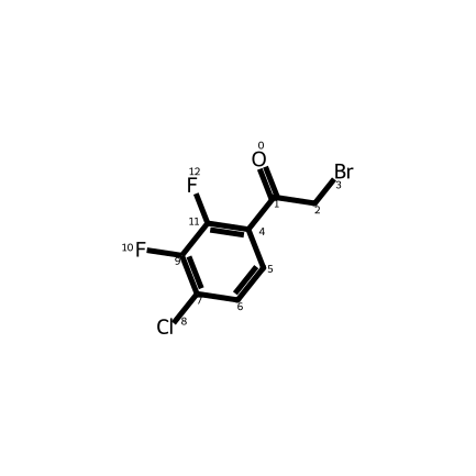 O=C(CBr)c1ccc(Cl)c(F)c1F